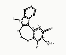 Cn1c2c(c3ccccc31)-c1[nH]c(=O)c(C(=O)O)c(O)c1CCC2